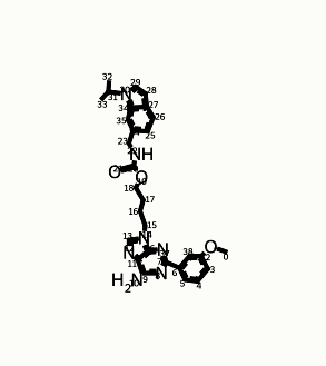 COc1cccc(-c2nc(N)c3ncn(CCCCOC(=O)NCc4ccc5ccn(C(C)C)c5c4)c3n2)c1